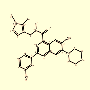 CCn1ncc(CN(C)C(=O)c2nc(-c3cccc(Cl)c3)nc3cc(N4CCOCC4)c(Cl)cc23)c1C